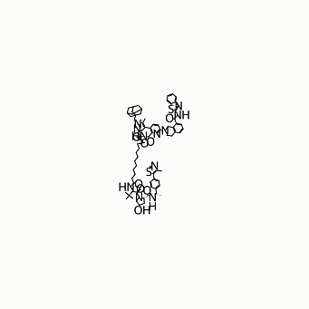 Cc1ncsc1-c1ccc([C@H](C)NC(=O)[C@@H]2C[C@@H](O)CN2C(=O)[C@@H](NC(=O)CCCCCCCCCS(=O)(=O)NC(=O)c2nc(N3CCc4cccc(C(=O)Nc5nc6ccccc6s5)c4C3)ccc2-c2cnn(CC34CC5CC(CC(C5)C3)C4)c2C)C(C)(C)C)cc1